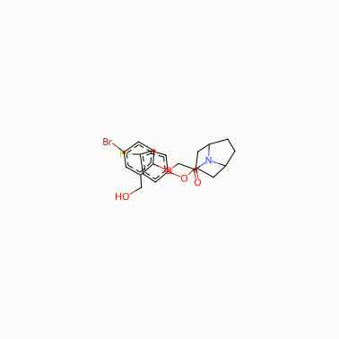 O=C(COc1ccc(Br)cc1CO)N1C2CCC1CC(Oc1ccc(F)cc1)C2